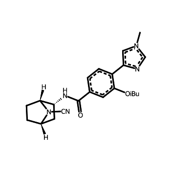 CC(C)COc1cc(C(=O)N[C@@H]2C[C@@H]3CC[C@H]2N3C#N)ccc1-c1cn(C)cn1